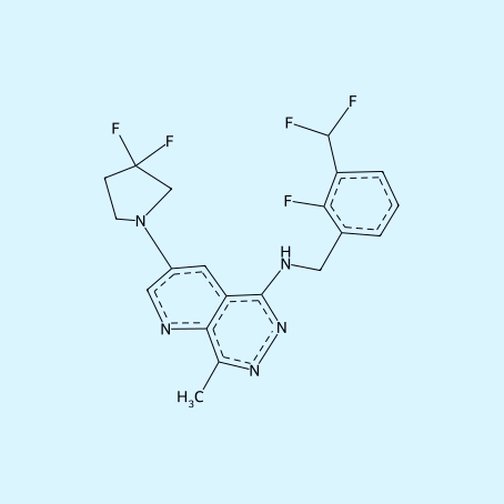 Cc1nnc(NCc2cccc(C(F)F)c2F)c2cc(N3CCC(F)(F)C3)cnc12